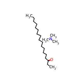 CN(C)C.[CH2]CC(=O)CCCCCCCCCCCCCCC